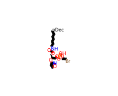 CCCCCCCCCCCCCCCCCNC(=O)OC[C@@H](COP(=O)(O)OCCBr)Oc1ccon1